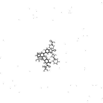 CC(=O)N1CCC2(CC1)C(=O)N([C@H]1C[C@@H](N3CCCCC3)C1)c1cc(-c3cc4ncn(C(C)C)c4c(Nc4cc(C(=O)NC(C)C)c(F)cc4F)n3)ccc12